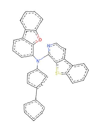 c1ccc(-c2ccc(N(c3cccc4c3oc3ccccc34)c3nccc4c3sc3ccccc34)cc2)cc1